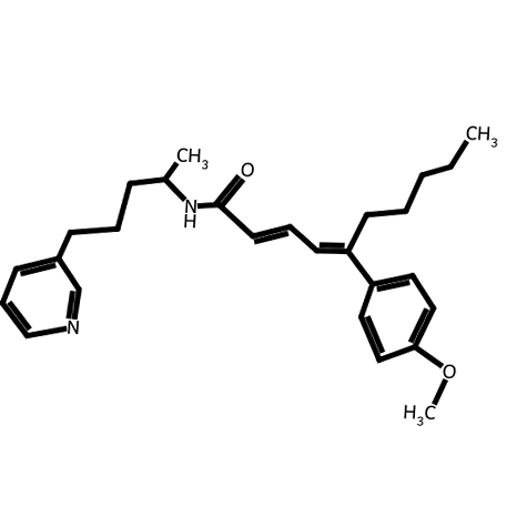 CCCCC/C(=C\C=C\C(=O)NC(C)CCCc1cccnc1)c1ccc(OC)cc1